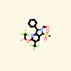 C[C@@H](Oc1nc2c(cc1C(F)(F)F)C(S(C)(=O)=O)N(C=O)C2c1ccccc1)C(F)(F)F